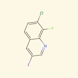 Fc1c(Cl)ccc2cc(I)cnc12